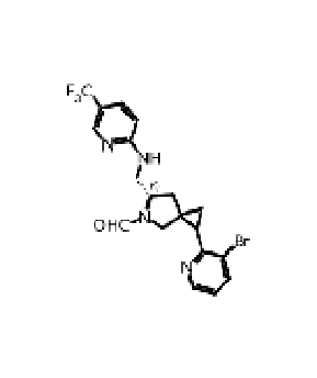 O=CN1CC2(CC2c2ncccc2Br)C[C@H]1CNc1ccc(C(F)(F)F)cn1